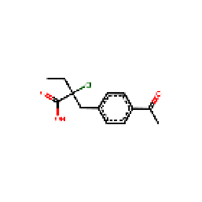 CCC(Cl)(Cc1ccc(C(C)=O)cc1)C(=O)O